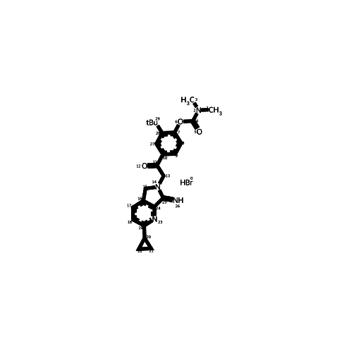 Br.CN(C)C(=O)Oc1ccc(C(=O)CN2Cc3ccc(C4CC4)nc3C2=N)cc1C(C)(C)C